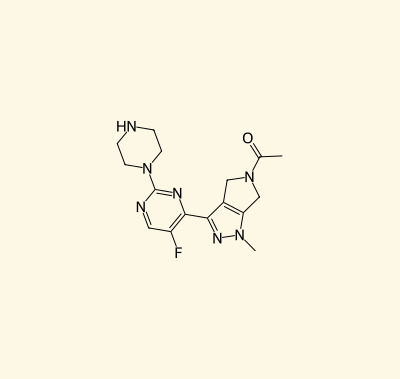 CC(=O)N1Cc2c(-c3nc(N4CCNCC4)ncc3F)nn(C)c2C1